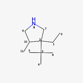 CCC1(C(C)(C)C)CNCC1C